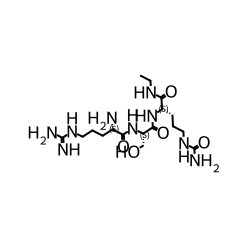 CCNC(=O)[C@H](CCCNC(N)=O)NC(=O)[C@H](CO)NC(=O)[C@@H](N)CCCNC(=N)N